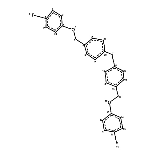 Fc1ccc(OCc2ccc(Cc3ccc(COc4ccc(F)cc4)cc3)cc2)cc1